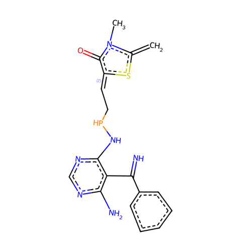 C=c1s/c(=C\CPNc2ncnc(N)c2C(=N)c2ccccc2)c(=O)n1C